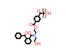 CCC(O)(CC)C(=O)c1ccc(C(=O)OCCN(CCO)C(=O)c2ccccc2C(=O)c2ccccc2)cc1